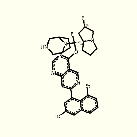 CCc1cccc2cc(O)cc(-c3cc4ncnc(OC(F)(N5C6CCC5CNC6)[C@@]56CCCN5C[C@H](F)C6)c4cn3)c12